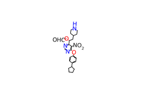 O=COC(CC1CCNCC1)c1ncnc(Oc2ccc(C3CCCC3)cc2)c1[N+](=O)[O-]